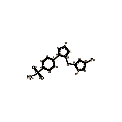 CS(=O)(=O)c1ccc(-c2cscc2Cc2cc(F)cs2)cc1